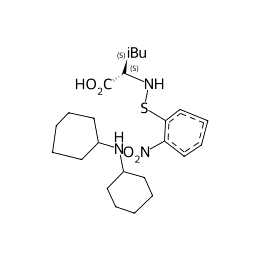 C1CCC(NC2CCCCC2)CC1.CC[C@H](C)[C@H](NSc1ccccc1[N+](=O)[O-])C(=O)O